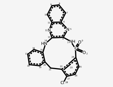 O=S1(=O)Nc2nc3ccccc3nc2Nc2ccccc2Cc2cc1ccc2Cl